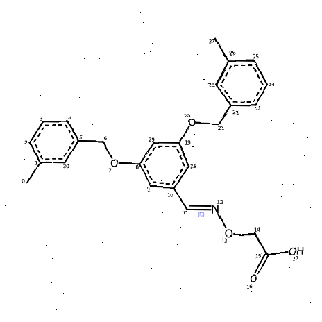 Cc1cccc(COc2cc(/C=N/OCC(=O)O)cc(OCc3cccc(C)c3)c2)c1